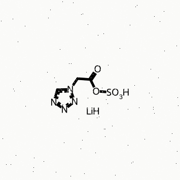 O=C(Cn1cnnn1)OS(=O)(=O)O.[LiH]